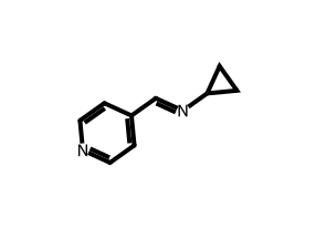 C(=NC1CC1)c1ccncc1